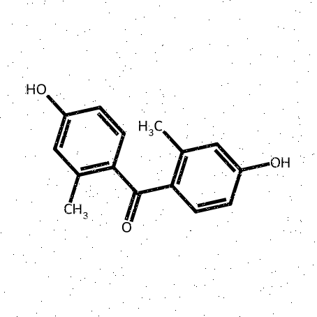 Cc1cc(O)ccc1C(=O)c1ccc(O)cc1C